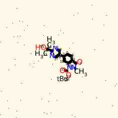 Cn1c(=O)c2ccc(-c3cnc(C(C)(C)O)nc3)cc2n1C(=O)OC(C)(C)C